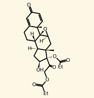 CCC(=O)OCC(=O)[C@@]1(OC(=O)CC)[C@@H](O)C[C@H]2[C@@H]3CCC4=CC(=O)C=C[C@]4(C)[C@@]34O[C@H]4C[C@@]21C